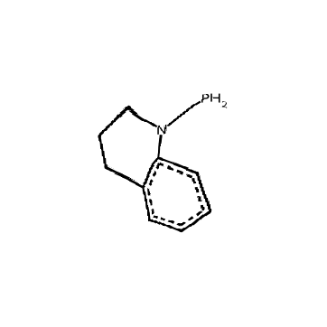 PN1CCCc2ccccc21